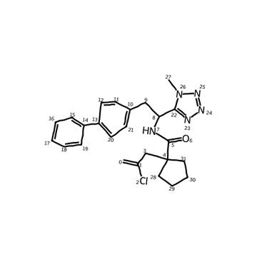 C=C(Cl)CC1(C(=O)NC(Cc2ccc(-c3ccccc3)cc2)c2nnnn2C)CCCC1